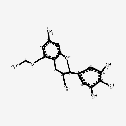 CCOc1cc(C)cc2c1CC(O)C(c1cc(O)c(O)c(O)c1)O2